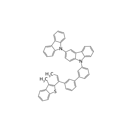 C/C=C(/c1cccc(-c2cccc(-n3c4ccccc4c4cc(-n5c6ccccc6c6ccccc65)ccc43)c2)c1)c1sc2ccccc2c1C